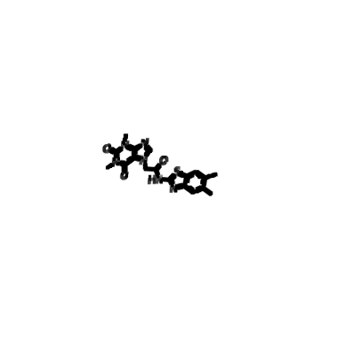 Cc1cc2nc(NC(=O)Cn3cnc4c3c(=O)n(C)c(=O)n4C)sc2cc1C